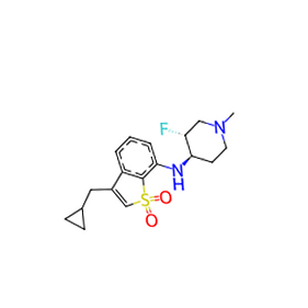 CN1CC[C@@H](Nc2cccc3c2S(=O)(=O)C=C3CC2CC2)[C@H](F)C1